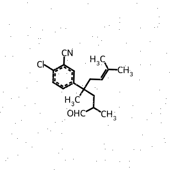 CC(C)=CCC(C)(CC(C)C=O)c1ccc(Cl)c(C#N)c1